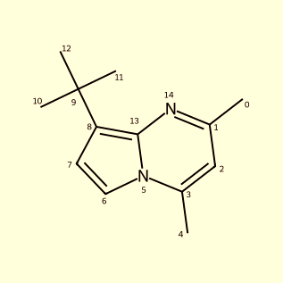 Cc1cc(C)n2ccc(C(C)(C)C)c2n1